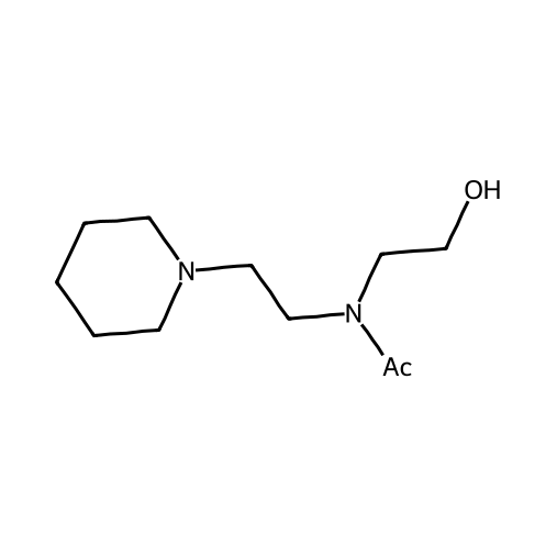 CC(=O)N(CCO)CCN1CCCCC1